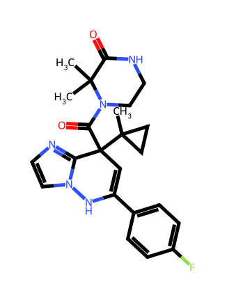 CC1(C)C(=O)NCCN1C(=O)C1(C2(C)CC2)C=C(c2ccc(F)cc2)Nn2ccnc21